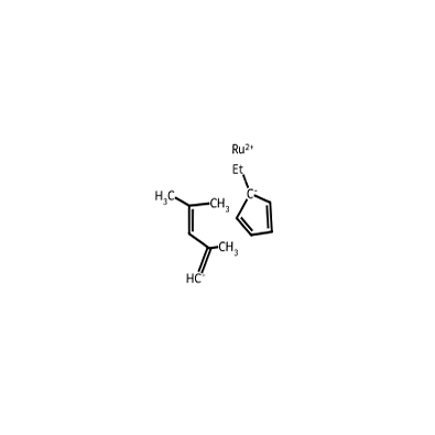 CC[c-]1cccc1.[CH-]=C(C)C=C(C)C.[Ru+2]